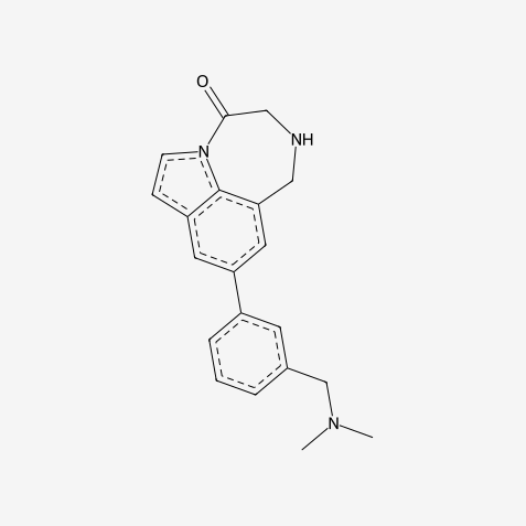 CN(C)Cc1cccc(-c2cc3c4c(ccn4C(=O)CNC3)c2)c1